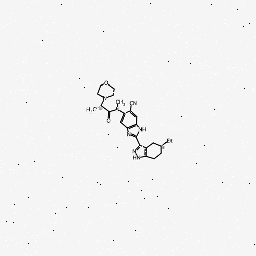 CC[C@H]1CCc2[nH]nc(-c3nc4cc(N(C)C(=O)[C@H](C)N5CCOCC5)c(C#N)cc4[nH]3)c2C1